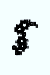 C[C@H]1Cc2c(cncc2Oc2ccc3c(ccn3C(=O)O)c2)CN1